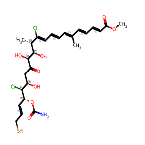 COC(=O)/C=C/C=C/C(C)=C/C=C/C=C(\Cl)[C@@H](C)[C@@H](O)[C@H](O)C(=O)C[C@@H](O)[C@H](Cl)[C@@H](/C=C/CS)OC(N)=O